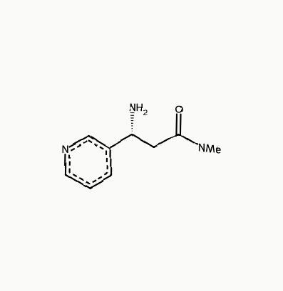 CNC(=O)C[C@@H](N)c1cccnc1